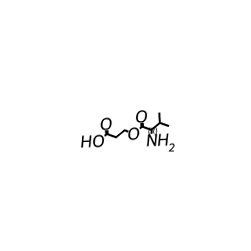 CC(C)[C@@H](N)C(=O)OCCC(=O)O